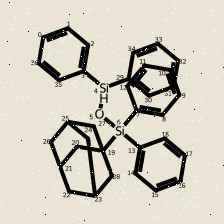 c1ccc([SiH](O[Si](c2ccccc2)(c2ccccc2)C23CC4CC(CC(C4)C2)C3)c2ccccc2)cc1